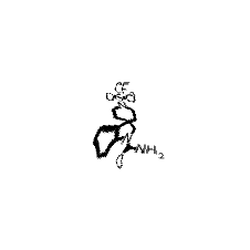 NC(=O)N1CC2(CCN(S(=O)(=O)C(F)(F)F)CC2)c2ccccc21